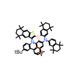 CC(C)(C)c1ccc(N2c3cc([Si](C)(C)C)cc4c3B(c3cc5c(cc3N4c3ccc4c(c3)C(C)(C)CCC4(C)C)C(C)(C)CCC5(C)C)c3sc4cc5c(cc4c32)C(C)(C)CCC5(C)C)c(-c2ccccc2)c1